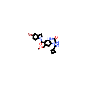 COCc1cc2c(cc1C(=O)N1CCc3cc(Br)ccc31)[nH]c(=O)c1nnc(C3=CC=C3)n12